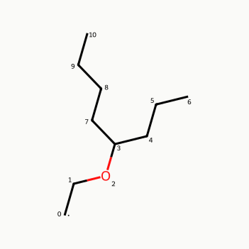 [CH2]COC(CCC)CCCC